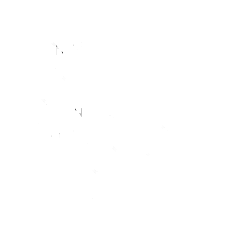 O=C(Nc1cc([N+](=O)[O-])ccc1Cl)c1cc(Cl)cc(-c2ccc(Cl)cc2)c1O